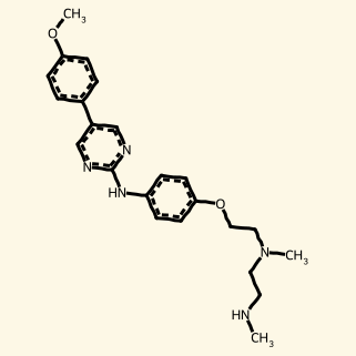 CNCCN(C)CCOc1ccc(Nc2ncc(-c3ccc(OC)cc3)cn2)cc1